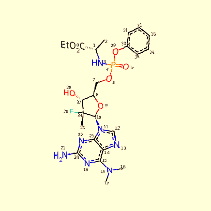 CCOC(=O)[C@H](C)NP(=O)(OC[C@H]1O[C@@H](n2cnc3c(N(C)C)nc(N)nc32)[C@](C)(F)[C@@H]1O)Oc1ccccc1